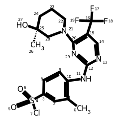 Cc1cc(S(=O)(=O)Cl)ccc1Nc1ncc(C(F)(F)F)c(N2CCC[C@](C)(O)C2)n1